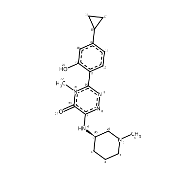 CN1CCC[C@@H](Nc2nnc(-c3ccc(C4CC4)cc3O)n(C)c2=O)C1